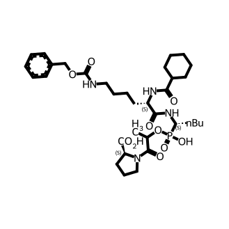 CCCC[C@@H](NC(=O)[C@H](CCCCNC(=O)OCc1ccccc1)NC(=O)C1CCCCC1)P(=O)(O)OC(C)C(=O)N1CCC[C@H]1C(=O)O